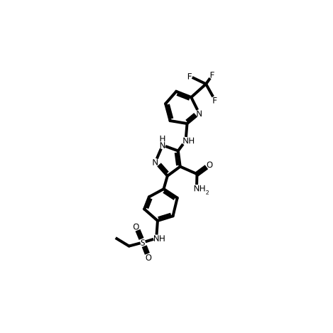 CCS(=O)(=O)Nc1ccc(-c2n[nH]c(Nc3cccc(C(F)(F)F)n3)c2C(N)=O)cc1